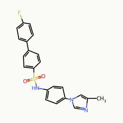 Cc1cn(-c2ccc(NS(=O)(=O)c3ccc(-c4ccc(F)cc4)cc3)cc2)cn1